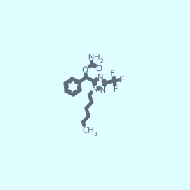 CCCCCCn1nc(C(F)(F)F)nc1C(OC(N)=O)c1ccccc1